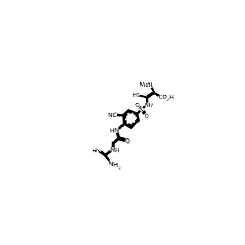 CN/C(C(=O)O)=C(\S)NS(=O)(=O)c1ccc(NC(=O)CNC(=N)N)c(C#N)c1